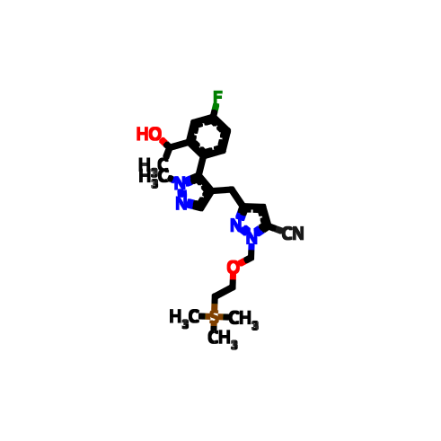 CC(O)c1cc(F)ccc1-c1c(Cc2cc(C#N)n(COCCS(C)(C)C)n2)cnn1C